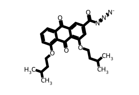 CC(C)CCOc1cccc2c1C(=O)c1c(OCCC(C)C)cc(C(=O)N=[N+]=[N-])cc1C2=O